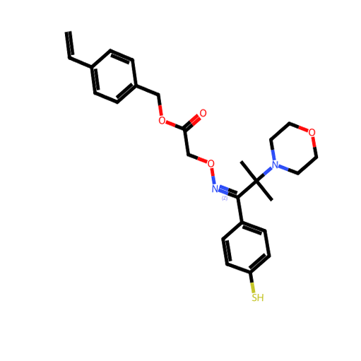 C=Cc1ccc(COC(=O)CO/N=C(/c2ccc(S)cc2)C(C)(C)N2CCOCC2)cc1